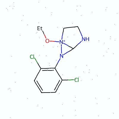 CCO[N+]12CCNC1N2c1c(Cl)cccc1Cl